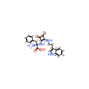 N[C@](Cc1ccccc1)(Nc1c(NCCc2c[nH]c3ccccc23)c(=O)c1=O)C(=O)O